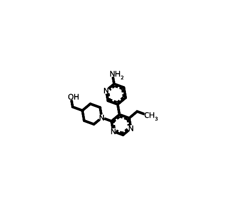 CCc1ncnc(N2CCC(CO)CC2)c1-c1ccc(N)nc1